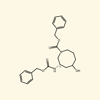 O=C(N[C@H]1CC(O)CCCN(C(=O)OCc2ccccc2)C1)OCc1ccccc1